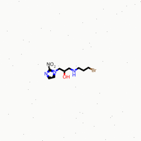 O=[N+]([O-])c1nccn1CC(O)CNCCCBr